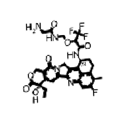 CC[C@@]1(O)C(=O)OCc2c1cc1n(c2=O)Cc2c-1nc1cc(F)c(C)c3c1c2[C@@H](NC(=O)C(OCNC(=O)CN)C(F)(F)F)CC3